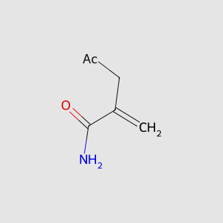 C=C(CC(C)=O)C(N)=O